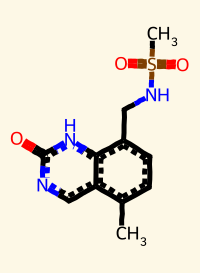 Cc1ccc(CNS(C)(=O)=O)c2[nH]c(=O)ncc12